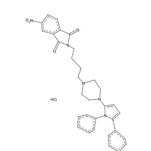 Cl.O=C1c2ccc([N+](=O)[O-])cc2C(=O)N1CCCCN1CCN(C2=CC=S(c3ccccc3)N2c2ccccc2)CC1